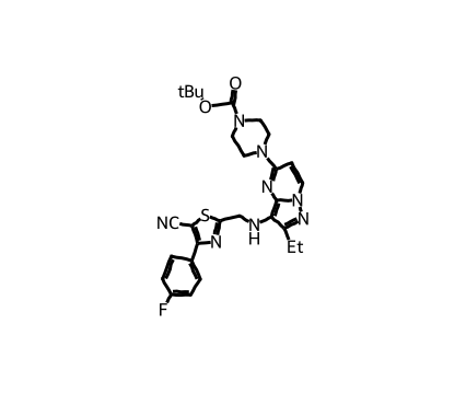 CCc1nn2ccc(N3CCN(C(=O)OC(C)(C)C)CC3)nc2c1NCc1nc(-c2ccc(F)cc2)c(C#N)s1